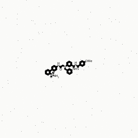 COc1ccc(C(=S)NC(=N)c2cccc(N(CC(=O)Nc3ccc(-c4ccccc4S(N)(=O)=O)cc3)Cc3ccccc3)c2)cc1